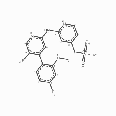 COc1cc(F)ccc1-c1cc(Nc2cc(C[S@@](C)(=N)=O)ccn2)ncc1F